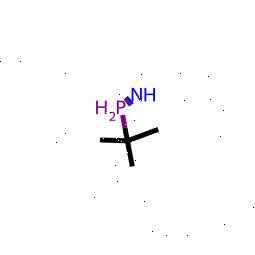 CC(C)(C)[PH2]=N